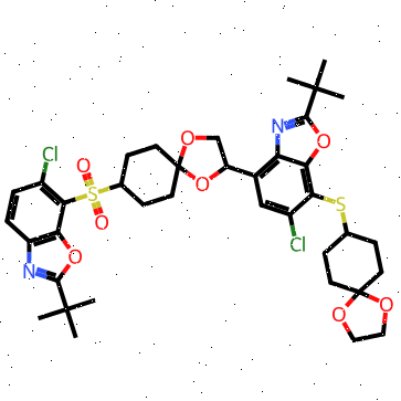 CC(C)(C)c1nc2ccc(Cl)c(S(=O)(=O)C3CCC4(CC3)OCC(c3cc(Cl)c(SC5CCC6(CC5)OCCO6)c5oc(C(C)(C)C)nc35)O4)c2o1